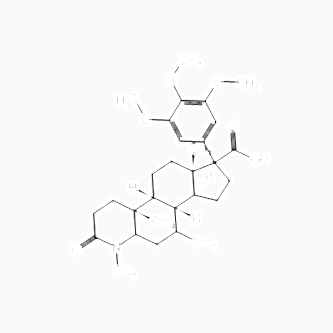 COc1cc(C2(C(=O)O)CC[C@H]3[C@@H]4C(C)CC5N(C)C(=O)CC[C@]5(C)[C@@H]4CC[C@@]32C)cc(OC)c1OC